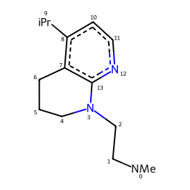 CNCCN1CCCc2c(C(C)C)ccnc21